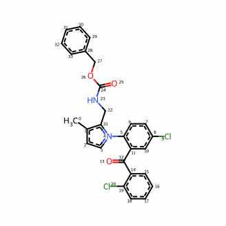 Cc1ccn(-c2ccc(Cl)cc2C(=O)c2ccccc2Cl)c1CNC(=O)OCc1ccccc1